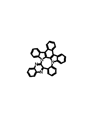 c1ccc2nc3c(nc2c1)c1ccccc1n1c2ccccc2c2c4ccccc4c4c5ccccc5n3c4c21